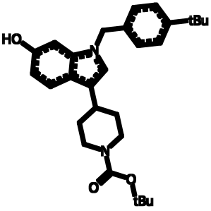 CC(C)(C)OC(=O)N1CCC(c2cn(Cc3ccc(C(C)(C)C)cc3)c3cc(O)ccc23)CC1